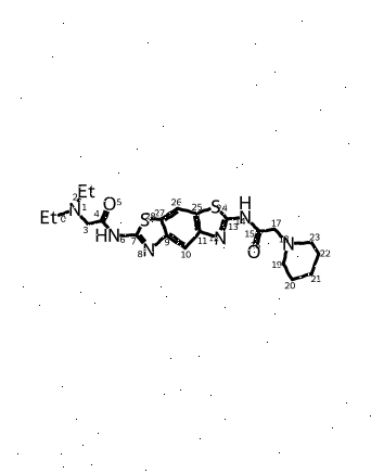 CCN(CC)CC(=O)Nc1nc2cc3nc(NC(=O)CN4CCCCC4)sc3cc2s1